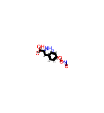 NC(Cc1ccc(OON=O)cc1)C(=O)O